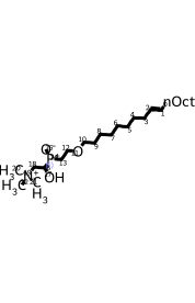 CCCCCCCCC=CCCCCCCCCOCC/[P+]([O-])=C(\O)C[N+](C)(C)C